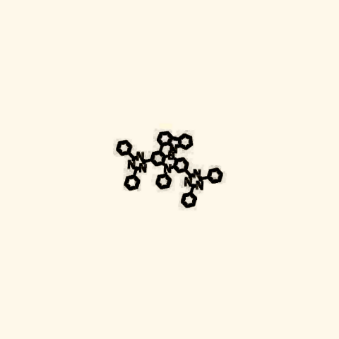 c1ccc(-c2nc(-c3ccccc3)nc(-c3ccc4c(c3)N(c3ccccc3)c3cc(-c5nc(-c6ccccc6)nc(-c6ccccc6)n5)cc5c3B4n3c4ccccc4c4cccc-5c43)n2)cc1